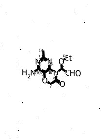 CCOC(C=O)N1C(=O)COc2c(N)nc(C)nc21